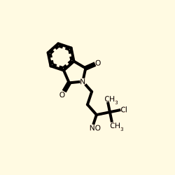 CC(C)(Cl)C(CCN1C(=O)c2ccccc2C1=O)N=O